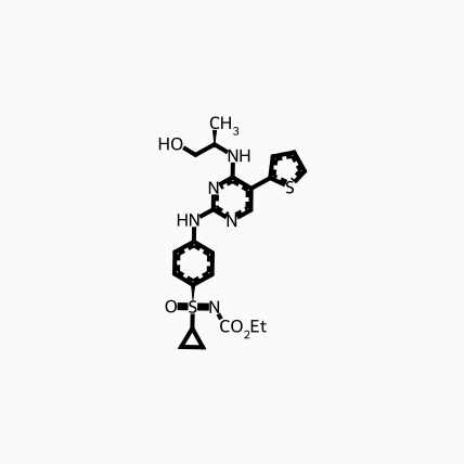 CCOC(=O)N=[S@](=O)(c1ccc(Nc2ncc(-c3cccs3)c(N[C@H](C)CO)n2)cc1)C1CC1